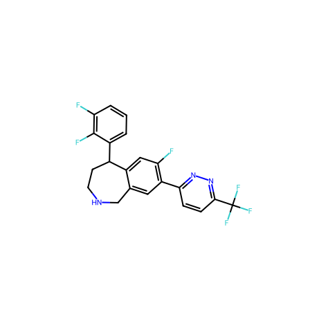 Fc1cc2c(cc1-c1ccc(C(F)(F)F)nn1)CNCCC2c1cccc(F)c1F